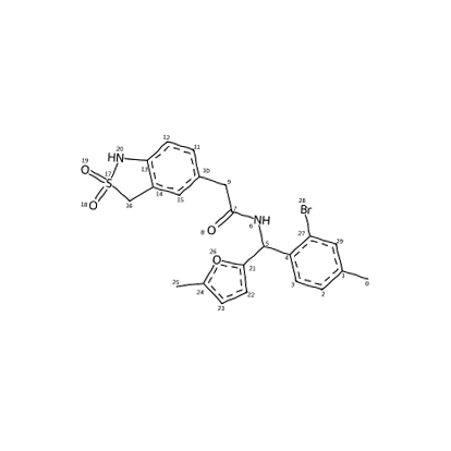 Cc1ccc(C(NC(=O)Cc2ccc3c(c2)CS(=O)(=O)N3)c2ccc(C)o2)c(Br)c1